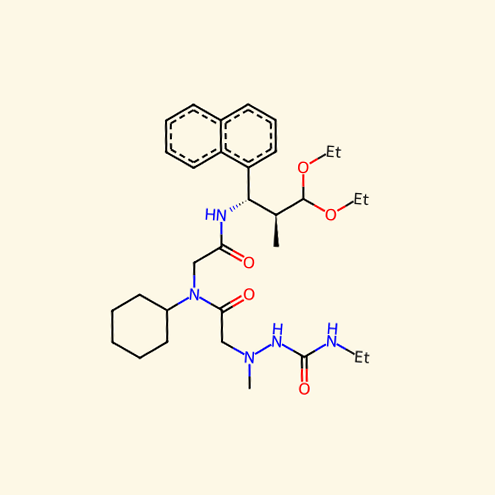 CCNC(=O)NN(C)CC(=O)N(CC(=O)N[C@H](c1cccc2ccccc12)[C@H](C)C(OCC)OCC)C1CCCCC1